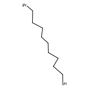 CC(C)CCCCCCCCCS